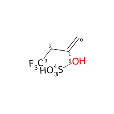 C=CCC(F)(F)F.O=S(=O)(O)O